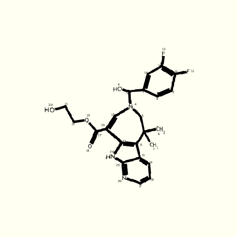 CC1(C)CN(C(O)c2ccc(F)c(F)c2)C=C(C(=O)OCCO)c2[nH]c3ncccc3c21